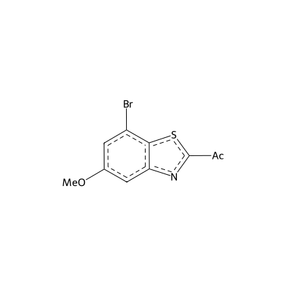 COc1cc(Br)c2sc(C(C)=O)nc2c1